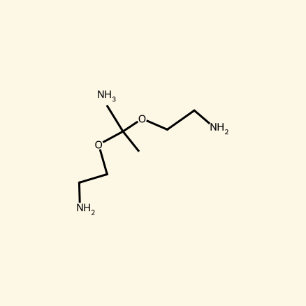 CC(C)(OCCN)OCCN.N